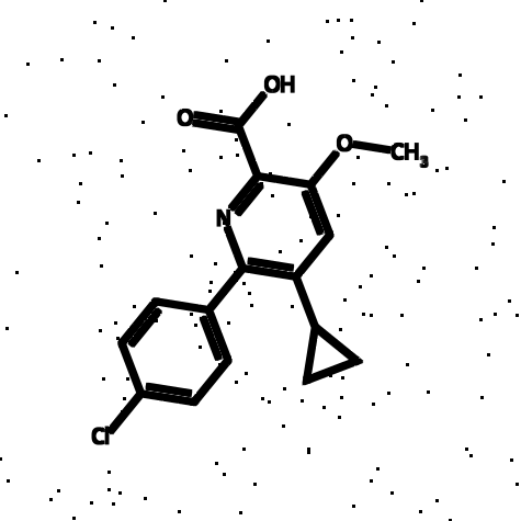 COc1cc(C2CC2)c(-c2ccc(Cl)cc2)nc1C(=O)O